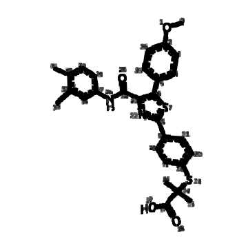 COc1ccc(-c2sc(-c3ccc(SC(C)(C)C(=O)O)cc3)nc2C(=O)Nc2ccc(C)c(C)c2)cc1